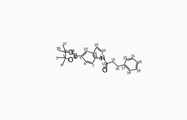 CC1(C)OB(c2ccc3c(ccn3C(=O)CCc3ccccc3)c2)OC1(C)C